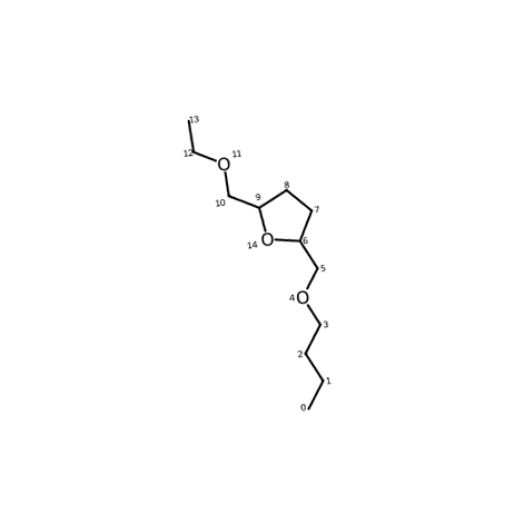 CCCCOCC1CCC(COCC)O1